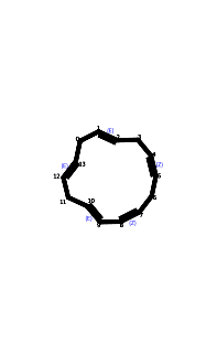 [CH]1/C=C/C/C=C\C/C=C\C=C\C/C=C/1